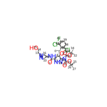 CC(Oc1cc(C(=O)Nc2cnn(CCO)c2)nnc1N(C(=O)OC(C)(C)C)C(=O)OC(C)(C)C)c1c(Cl)ccc(F)c1Cl